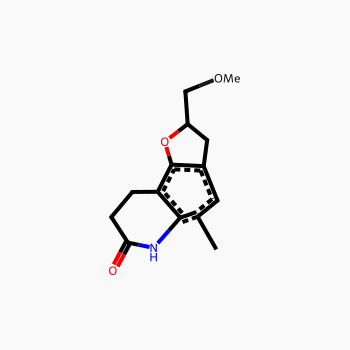 COCC1Cc2cc(C)c3c(c2O1)CCC(=O)N3